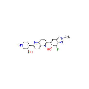 Cn1cc2cc(-c3ccc4nc(C5CCNCC5O)ccc4n3)c(O)c(F)c2n1